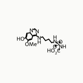 COc1cc2c(NCCCCNS(=O)(=O)NC(=O)O)ncnc2cc1O